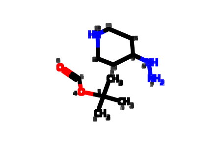 CC(C)(C)OC=O.NNC1CCNCC1